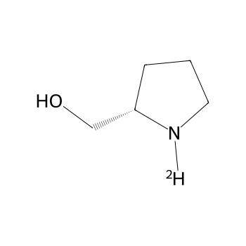 [2H]N1CCC[C@H]1CO